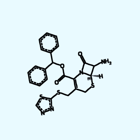 NC1C(=O)N2C(C(=O)OC(c3ccccc3)c3ccccc3)=C(CSc3nncs3)CS[C@H]12